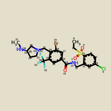 CCS(=O)(=O)c1ccc(Cl)cc1CNC(=O)c1cc(Br)c(CN2CC[C@@H](NC)C2)c(C(F)(F)F)c1